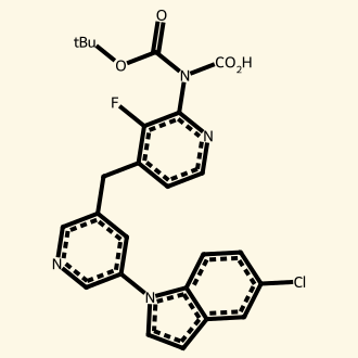 CC(C)(C)OC(=O)N(C(=O)O)c1nccc(Cc2cncc(-n3ccc4cc(Cl)ccc43)c2)c1F